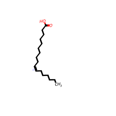 CCCCCC/C=C\CCCCCCCCC(=O)O